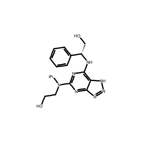 CC(C)N(CCO)c1nc(N[C@@H](CO)c2ccccc2)c2[nH]nnc2n1